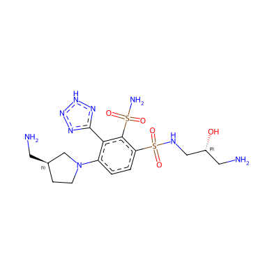 NC[C@@H](O)CNS(=O)(=O)c1ccc(N2CC[C@@H](CN)C2)c(-c2nn[nH]n2)c1S(N)(=O)=O